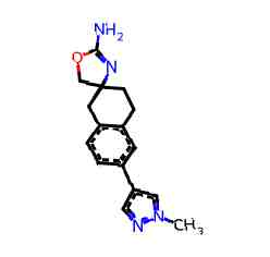 Cn1cc(-c2ccc3c(c2)CCC2(COC(N)=N2)C3)cn1